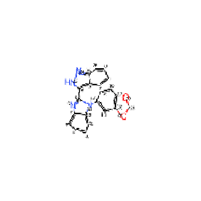 c1ccc2c(-c3nc4ccccc4n3-c3ccc4c(c3)OCO4)[nH]nc2c1